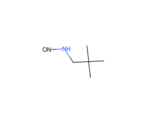 CC(C)(C)CNN=O